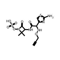 C#CCONC(C(=O)NC1C(=O)N(OS(=O)(=O)O)C1(C)C)c1csc(N)n1